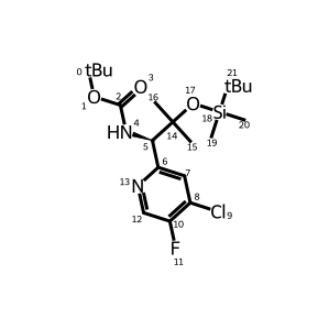 CC(C)(C)OC(=O)N[C@H](c1cc(Cl)c(F)cn1)C(C)(C)O[Si](C)(C)C(C)(C)C